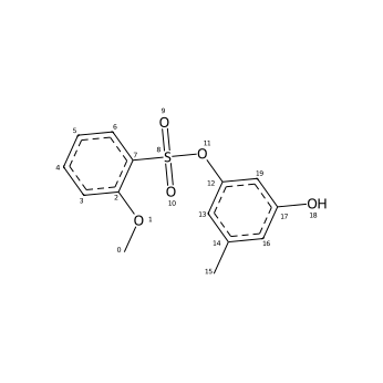 COc1ccccc1S(=O)(=O)Oc1cc(C)cc(O)c1